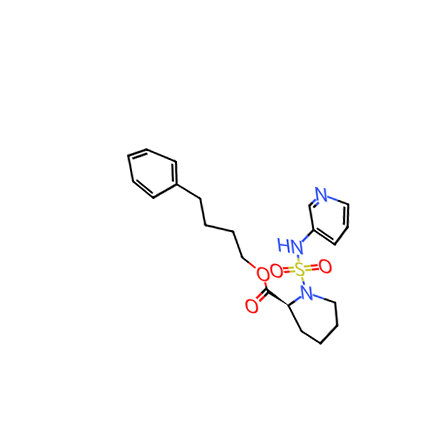 O=C(OCCCCc1ccccc1)[C@@H]1CCCCN1S(=O)(=O)Nc1cccnc1